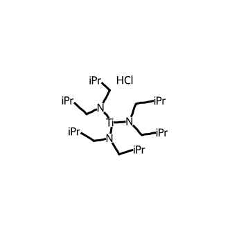 CC(C)C[N](CC(C)C)[Ti]([N](CC(C)C)CC(C)C)[N](CC(C)C)CC(C)C.Cl